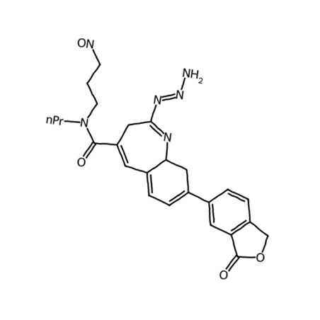 CCCN(CCCN=O)C(=O)C1=CC2=CC=C(c3ccc4c(c3)C(=O)OC4)CC2N=C(N=NN)C1